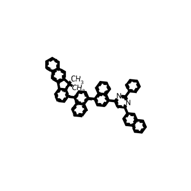 CC1(C)c2cc3ccccc3cc2-c2cccc(-c3ccc(-c4ccc(-c5cc(-c6ccc7ccccc7c6)nc(-c6ccccc6)n5)c5ccccc45)c4ccccc34)c21